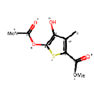 CNC(=O)Oc1sc(C(=O)OC)c(C)c1O